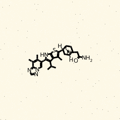 Cc1c(-c2[nH]c3sc([C@@H]4C[C@H]5CCC4CN5CC(N)=O)c(C)c3c2C(C)C)cn2ncnc2c1C